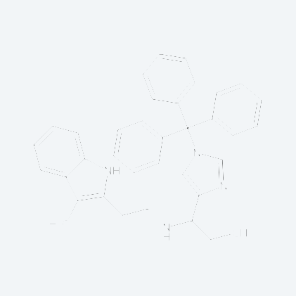 CCC(NCCc1[nH]c2ccccc2c1C)c1cn(C(c2ccccc2)(c2ccccc2)c2ccccc2)cn1